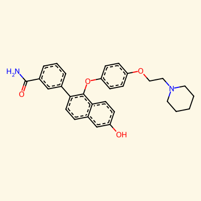 NC(=O)c1cccc(-c2ccc3cc(O)ccc3c2Oc2ccc(OCCN3CCCCC3)cc2)c1